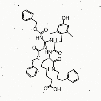 Cc1cc(O)cc(C)c1C[C@H](NC(=NC(=O)OCc1ccccc1)NC(=O)OCc1ccccc1)C(=O)N[C@H](CCCCCC(=O)O)C(=O)NCCCc1ccccc1